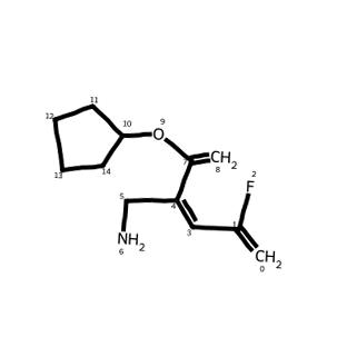 C=C(F)/C=C(/CN)C(=C)OC1CCCC1